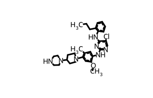 CCCc1ccccc1Nc1nc(Nc2cc(C)c(N3CCC(N4CCNCC4)CC3)cc2OC)ncc1Cl